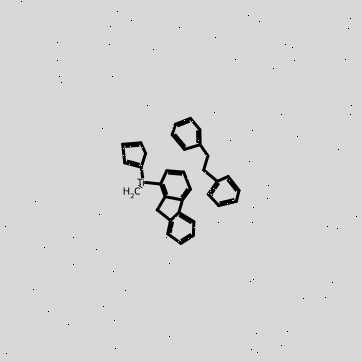 [CH2]=[Ti]([C]1=CC=CC1)[c]1cccc2c1Cc1ccccc1-2.c1ccc(CCc2ccccc2)cc1